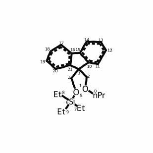 CCCOCC1(CO[Si](CC)(CC)CC)c2ccccc2-c2ccccc21